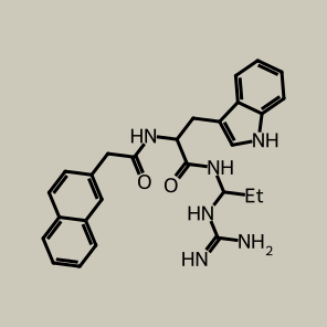 CCC(NC(=N)N)NC(=O)C(Cc1c[nH]c2ccccc12)NC(=O)Cc1ccc2ccccc2c1